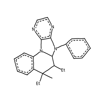 CCC1C2N(c3ccccc3)c3nccnc3N2c2ccccc2C1(C)CC